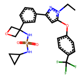 CCn1nc(-c2cccc(C3(NS(=O)(=O)NC4CC4)COC3)c2)cc1Oc1ccc(C(F)(F)F)cc1